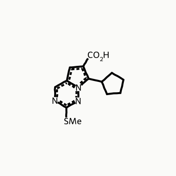 CSc1ncc2cc(C(=O)O)c(C3CCCC3)n2n1